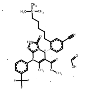 COC(=O)C1=C(C)N(c2cccc(C(F)(F)F)c2)c2n[nH]c(=O)n2[C@@H]1c1ccc(C#N)cc1CCCCC[N+](C)(C)C.O=CO